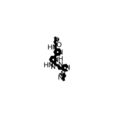 Cc1cn(-c2cncc3[nH]c(-c4n[nH]c5ccc(-c6cncc(NC(=O)CN(C)C)c6)nc45)cc23)cn1